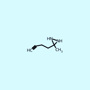 C#CCCC1(C)NN1